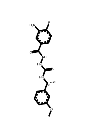 COc1cccc([C@@H](C)NC(=S)NNC(=O)c2ccc(F)c(N)c2)c1